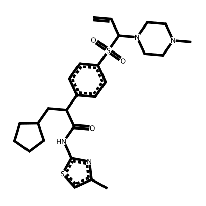 C=CC(N1CCN(C)CC1)S(=O)(=O)c1ccc(C(CC2CCCC2)C(=O)Nc2nc(C)cs2)cc1